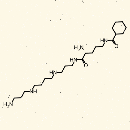 NCCCNCCCCNCCCNC(=O)[C@H](N)CCCNC(=O)C1CCCCC1